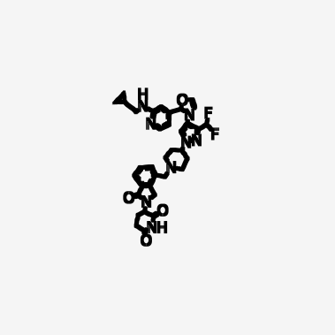 O=C1CCC(N2Cc3c(CN4CCC(n5cc(N6C=COC6c6ccnc(NCC7CC7)c6)c(C(F)F)n5)CC4)cccc3C2=O)C(=O)N1